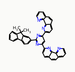 CC1(C)c2ccccc2-c2ccc(-c3nc(-c4ccc5ccc6cccnc6c5n4)cc(-c4ccc5ccc6cccnc6c5n4)n3)cc21